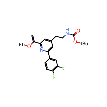 C=C(OCC)c1cc(CCNC(=O)OC(C)(C)C)cc(-c2ccc(F)c(Cl)c2)n1